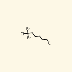 ClCCCCCC(Cl)(Br)Br